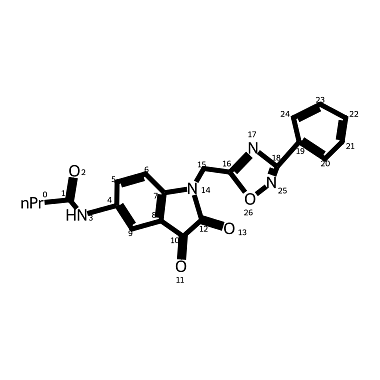 CCCC(=O)Nc1ccc2c(c1)C(=O)C(=O)N2Cc1nc(-c2ccccc2)no1